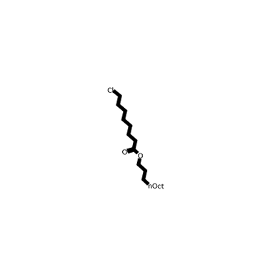 CCCCCCCCCCCOC(=O)CCCCCCCCl